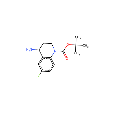 CC(C)(C)OC(=O)N1CCC(N)c2cc(F)ccc21